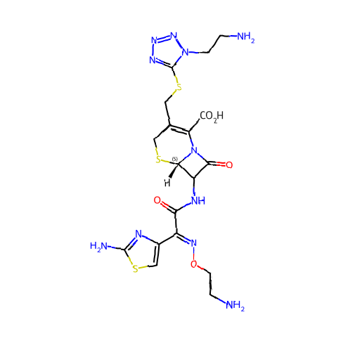 NCCON=C(C(=O)NC1C(=O)N2C(C(=O)O)=C(CSc3nnnn3CCN)CS[C@@H]12)c1csc(N)n1